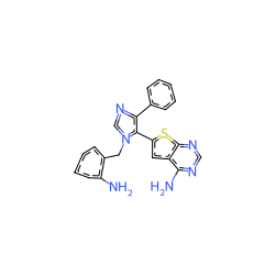 Nc1ccccc1Cn1cnc(-c2ccccc2)c1-c1cc2c(N)ncnc2s1